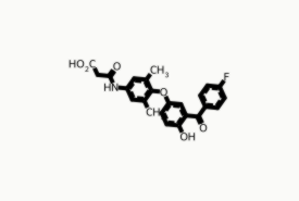 Cc1cc(NC(=O)CC(=O)O)cc(C)c1Oc1ccc(O)c(C(=O)c2ccc(F)cc2)c1